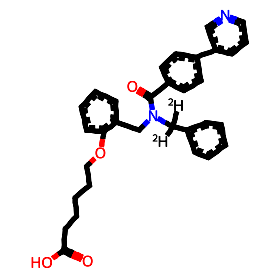 [2H]C([2H])(c1ccccc1)N(Cc1ccccc1OCCCCCC(=O)O)C(=O)c1ccc(-c2cccnc2)cc1